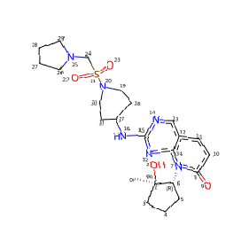 C[C@@]1(O)CCC[C@H]1n1c(=O)ccc2cnc(NC3CCN(S(=O)(=O)CN4CCCC4)CC3)nc21